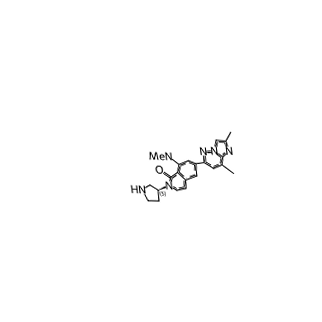 CNc1cc(-c2cc(C)c3nc(C)cn3n2)cc2ccn([C@H]3CCNC3)c(=O)c12